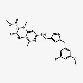 C=C(OC)[C@H]1C(=O)Nc2c(C)nc(NCc3cnn(Cc4cc(F)cc(OC)c4)c3)nc2N1C